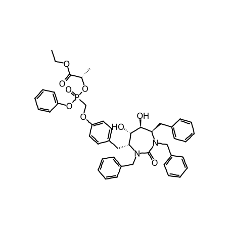 CCOC(=O)[C@H](C)OP(=O)(COc1ccc(C[C@@H]2[C@H](O)[C@@H](O)[C@@H](Cc3ccccc3)N(Cc3ccccc3)C(=O)N2Cc2ccccc2)cc1)Oc1ccccc1